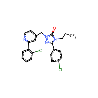 O=c1n(Cc2ccnc(-c3ccccc3Cl)c2)nc(-c2ccc(Cl)cc2)n1CCC(F)(F)F